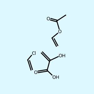 C=C(O)C(=O)O.C=CCl.C=COC(C)=O